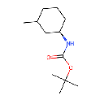 CC1CCC[C@@H](NC(=O)OC(C)(C)C)C1